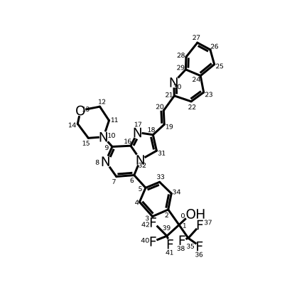 OC(c1ccc(-c2cnc(N3CCOCC3)c3nc(/C=C/c4ccc5ccccc5n4)cn23)cc1)(C(F)(F)F)C(F)(F)F